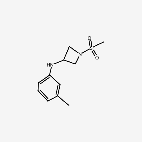 Cc1cccc(NC2CN(S(C)(=O)=O)C2)c1